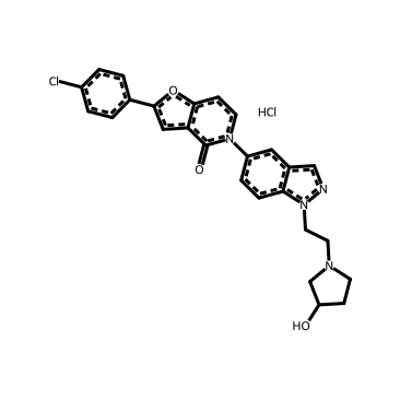 Cl.O=c1c2cc(-c3ccc(Cl)cc3)oc2ccn1-c1ccc2c(cnn2CCN2CCC(O)C2)c1